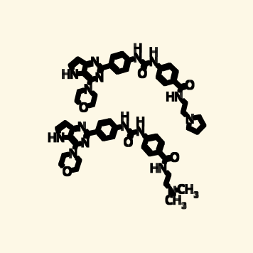 CN(C)CCNC(=O)c1ccc(NC(=O)Nc2ccc(-c3nc(N4CCOCC4)c4[nH]ccc4n3)cc2)cc1.O=C(Nc1ccc(C(=O)NCCN2CCCC2)cc1)Nc1ccc(-c2nc(N3CCOCC3)c3[nH]ccc3n2)cc1